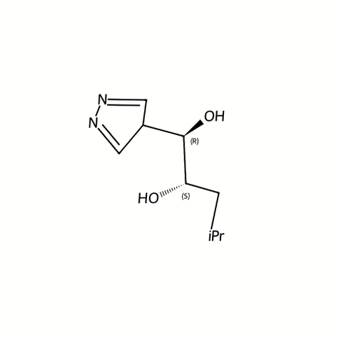 CC(C)C[C@H](O)[C@H](O)C1C=NN=C1